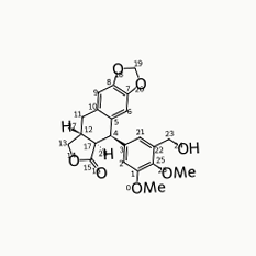 COc1cc([C@@H]2c3cc4c(cc3C[C@H]3COC(=O)[C@@H]32)OCO4)cc(CO)c1OC